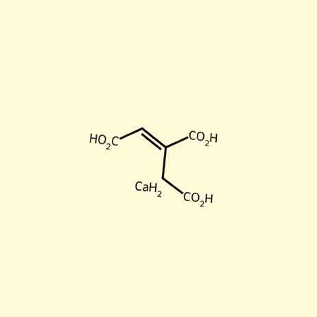 O=C(O)C=C(CC(=O)O)C(=O)O.[CaH2]